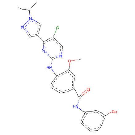 COc1cc(C(=O)Nc2cccc(O)c2)ccc1Nc1ncc(Cl)c(-c2cnn(C(C)C)c2)n1